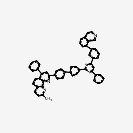 Cc1ccc2ccc3c(-c4ccccc4)cc(-c4ccc(-c5ccc(-c6nc(-c7ccccc7)cc(-c7cccc(-c8cccc9ccncc89)c7)n6)cc5)cc4)nc3c2n1